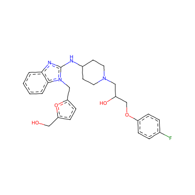 OCc1ccc(Cn2c(NC3CCN(CC(O)COc4ccc(F)cc4)CC3)nc3ccccc32)o1